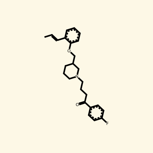 CC=Cc1ccccc1OCC1CCCN(CCCC(=O)c2ccc(F)cc2)C1